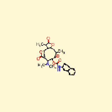 CC1C(=O)OC2CC3(C)OC3C(OC(=O)Nc3ccc4ccccc4c3)C(N(C)C)C3=CC(OC3=O)C21